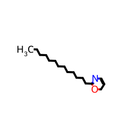 CCCCCCCCCCCCCC1=NC=CCO1